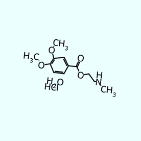 CNCCOC(=O)c1ccc(OC)c(OC)c1.Cl.O